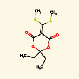 CCC1(CC)OC(=O)C(=C(SC)SC)C(=O)O1